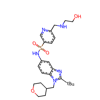 CC(C)(C)c1nc2cc(NS(=O)(=O)c3ccc(CNCCO)nc3)ccc2n1CC1CCOCC1